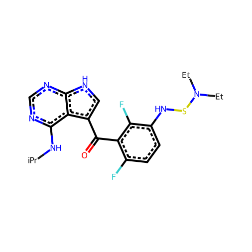 CCN(CC)SNc1ccc(F)c(C(=O)c2c[nH]c3ncnc(NC(C)C)c23)c1F